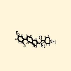 CCN(C(=O)C1CCNCC1)c1cc2ccc(-c3cc(F)ccc3C)cc2cn1